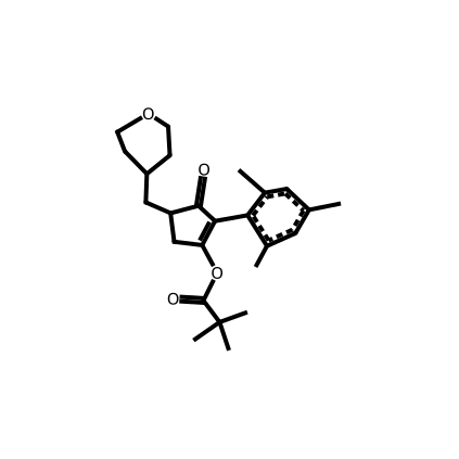 Cc1cc(C)c(C2=C(OC(=O)C(C)(C)C)CC(CC3CCOCC3)C2=O)c(C)c1